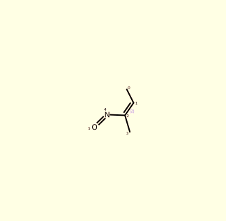 C/C=C(/C)N=O